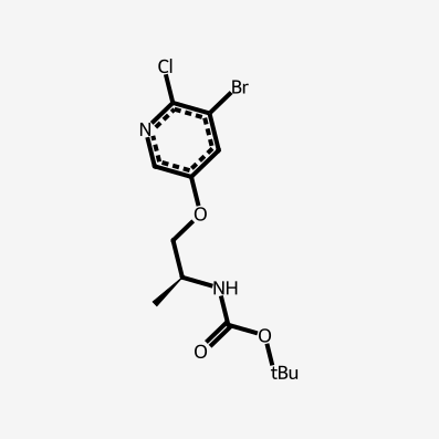 C[C@@H](COc1cnc(Cl)c(Br)c1)NC(=O)OC(C)(C)C